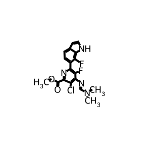 COC(=O)c1nc(-c2ccc3cc[nH]c3c2F)c(F)c(/N=C/N(C)C)c1Cl